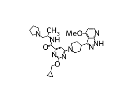 COc1ccnc2[nH]nc(C3CCN(c4cc(C(=O)N[C@H](C)CN5CCCC5)nc(OCC5CC5)n4)CC3)c12